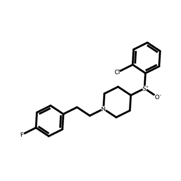 [O-][S+](c1ccccc1Cl)C1CCN(CCc2ccc(F)cc2)CC1